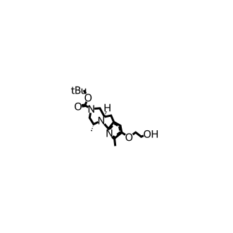 Cc1nc2c(cc1OCCO)C[C@@H]1CN(C(=O)OC(C)(C)C)C[C@@H](C)N21